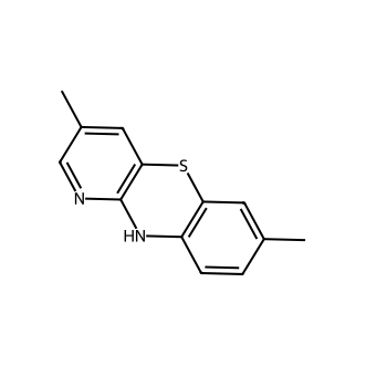 Cc1ccc2c(c1)Sc1cc(C)cnc1N2